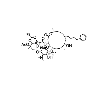 CCC(=O)O[C@@H]1CC(=O)O[C@H](C)CCCN(CCCCc2ccccc2)C[C@H](O)[C@H](C)C[C@H](CC=O)[C@H](O[C@@H]2OC(C)[C@@H](O[C@H]3CC(C)(OC(C)=O)[C@@H](OC(=O)CC)C(C)O3)C(N(C)C)C2O)[C@H]1OC